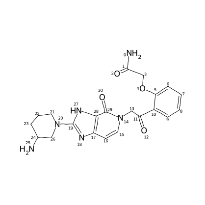 NC(=O)COc1ccccc1C(=O)Cn1ccc2nc(N3CCCC(N)C3)[nH]c2c1=O